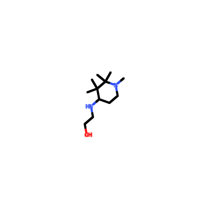 CN1CCC(NCCO)C(C)(C)C1(C)C